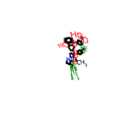 CCC[C@H]1N(C(=O)c2ncccc2C(F)(F)F)CCC[C@@]1(Oc1ccc(C(F)(F)F)cc1)C(=O)C1CCC(O)(c2ccccc2O[C@@H]2CC[C@@H](C(=O)O)C2)CC1